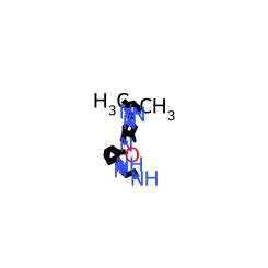 Cc1cc(C)nc(N2CC3CN(C(=O)c4ccccc4N/N=C\C=N)CC3C2)n1